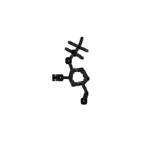 CC(C)(C)[Si](C)(C)Oc1ccc(C=O)cc1O